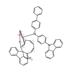 C=C1/C=C\C=C/CC2=C(\C=C/C=C/C=C/C=C(N(c3ccc(-c4ccccc4)cc3)c3ccc(-n4c5ccccc5c5ccccc54)cc3)/C=C\2)C12c1ccccc1-c1ccccc12